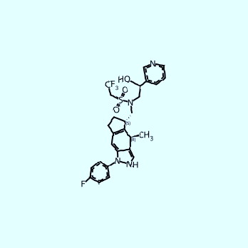 C[C@H]1C2=CNN(c3ccc(F)cc3)C2=CC2=C1[C@@H](CN(CC(O)c1cccnc1)S(=O)(=O)CC(F)(F)F)CC2